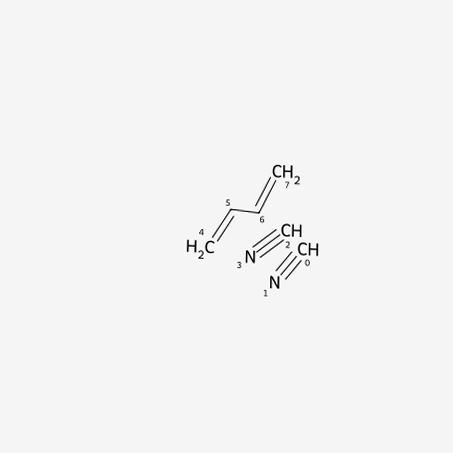 C#N.C#N.C=CC=C